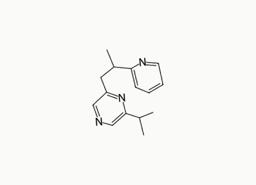 CC(C)c1cncc(CC(C)c2ccccn2)n1